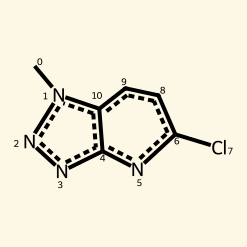 Cn1nnc2nc(Cl)ccc21